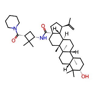 C=C(C)[C@@H]1CC[C@]2(C(=O)N[C@H]3C[C@@H](C(=O)N4CCCCC4)C3(C)C)CC[C@]3(C)[C@H](CC[C@@H]4[C@@]5(C)CC[C@H](O)C(C)(C)[C@@H]5CC[C@]43C)[C@@H]12